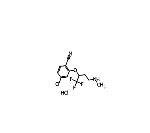 CNCCC(Oc1cc(Cl)ccc1C#N)C(F)(F)F.Cl